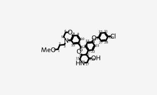 COCCCN1CCOc2ccc(COC3CNCC(O)C3c3ccc(Oc4ccc(Cl)cc4)cc3)cc21